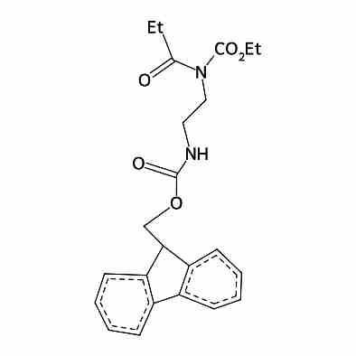 CCOC(=O)N(CCNC(=O)OCC1c2ccccc2-c2ccccc21)C(=O)CC